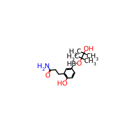 CC(C)(O)C(C)(C)OBc1ccc(O)c(CCC(N)=O)c1